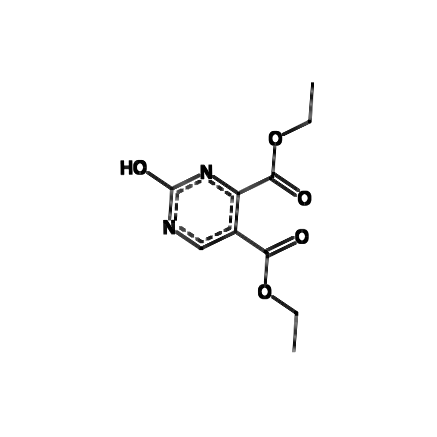 CCOC(=O)c1cnc(O)nc1C(=O)OCC